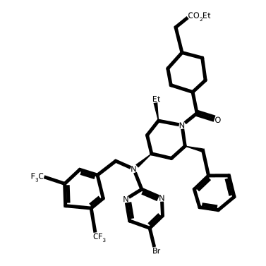 CCOC(=O)CC1CCC(C(=O)N2[C@H](CC)C[C@H](N(Cc3cc(C(F)(F)F)cc(C(F)(F)F)c3)c3ncc(Br)cn3)C[C@@H]2Cc2ccccc2)CC1